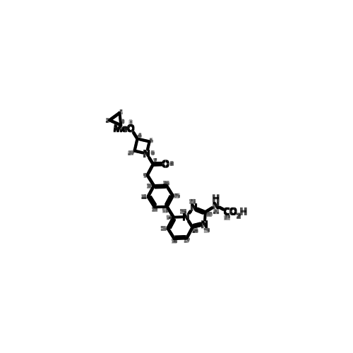 C1CC1.COC1CN(C(=O)Cc2ccc(-c3cccc4nc(NC(=O)O)nn34)cc2)C1